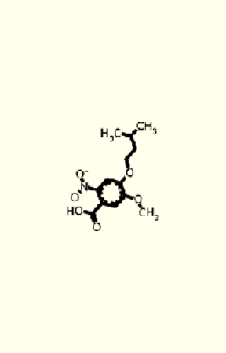 COc1cc(C(=O)O)c([N+](=O)[O-])cc1OCCC(C)C